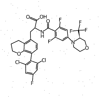 O=C(NC(Cc1ccc(-c2c(Cl)cc(F)cc2Cl)c2c1CCCO2)C(=O)O)c1c(F)cc(N2CCOC[C@@H]2C(F)(F)F)cc1F